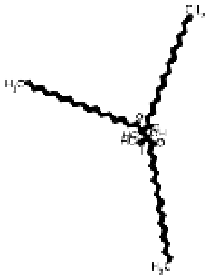 CCCCCCCCC=CCCCCCCCC(=O)C(O)(C(O)I)C(O)(C(=O)CCCCCCCCCCCCCCCCC)C(=O)CCCCCCCCCCCCCCCCC